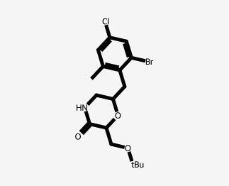 Cc1cc(Cl)cc(Br)c1CC1CNC(=O)C(COC(C)(C)C)O1